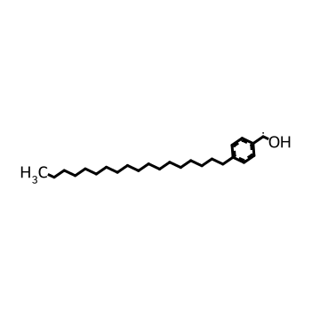 CCCCCCCCCCCCCCCCCCc1ccc([CH]O)cc1